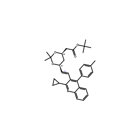 Cc1ccc(-c2c(/C=C/[C@@H]3C[C@H](CC(=O)OC(C)(C)C)OC(C)(C)O3)c(C3CC3)nc3ccccc23)cc1